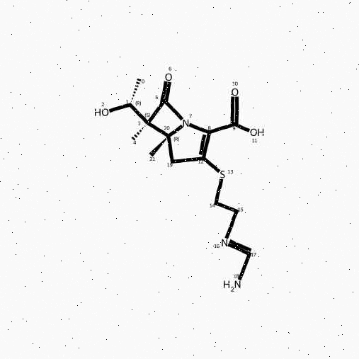 C[C@@H](O)[C@@]1(C)C(=O)N2C(C(=O)O)=C(SCCN=CN)C[C@@]21C